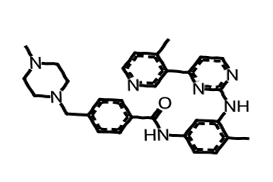 Cc1ccc(NC(=O)c2ccc(CN3CCN(C)CC3)cc2)cc1Nc1nccc(-c2cnccc2C)n1